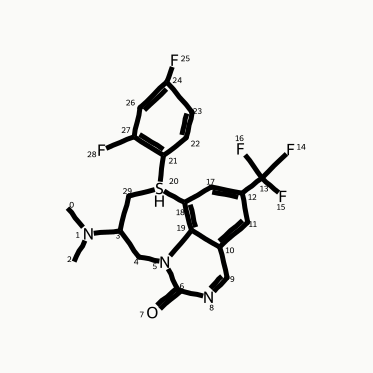 CN(C)C1Cn2c(=O)ncc3cc(C(F)(F)F)cc(c32)[SH](c2ccc(F)cc2F)C1